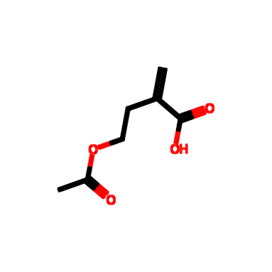 C=C(CCOC(C)=O)C(=O)O